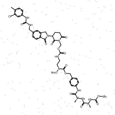 CON(CCNC(=O)OCN1C(=O)CCC(N2Cc3cc(CNC(=O)Nc4ccc(C)c(Cl)c4)ccc3C2=O)C1=O)C(=O)OCc1ccc(NC(=O)[C@H](C)NC(=O)[C@H](C)NC(=O)OC(C)(C)C)cc1